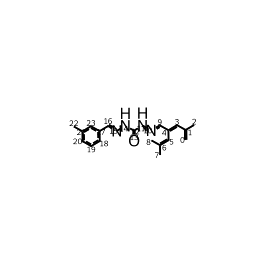 C=C(C)/C=C(C=C(C)C)/C=N/NC(=O)N/N=C/c1cccc(C)c1